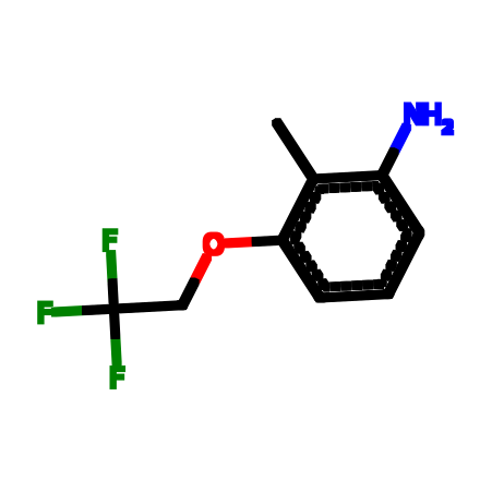 Cc1c(N)cccc1OCC(F)(F)F